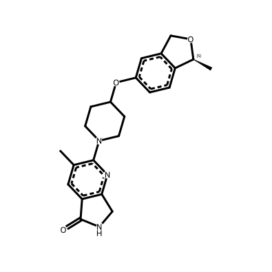 Cc1cc2c(nc1N1CCC(Oc3ccc4c(c3)CO[C@H]4C)CC1)CNC2=O